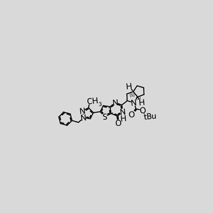 Cc1nn(Cc2ccccc2)cc1-c1cc2nc(C3C[C@@H]4CCC[C@@H]4N3C(=O)OC(C)(C)C)[nH]c(=O)c2s1